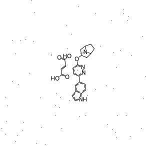 CN1C2CCC1CC(Oc1ccc(-c3ccc4[nH]ccc4c3)nn1)C2.O=C(O)/C=C/C(=O)O